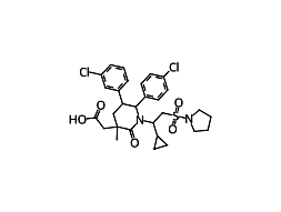 CC1(CC(=O)O)CC(c2cccc(Cl)c2)C(c2ccc(Cl)cc2)N(C(CS(=O)(=O)N2CCCC2)C2CC2)C1=O